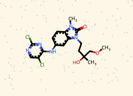 COCC(C)(O)CCn1c(=O)n(C)c2ccc(Nc3nc(Cl)ncc3Cl)cc21